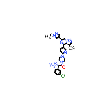 Cn1cc(-c2cn3ncc(C#N)c3c(-c3ccc(N4CCN(C(=O)C(N)c5cccc(Cl)c5)CC4)nc3)n2)cn1